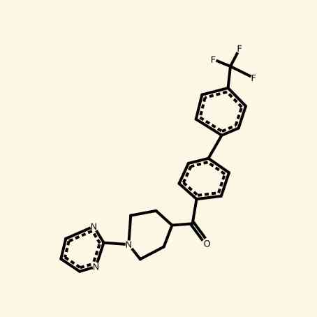 O=C(c1ccc(-c2ccc(C(F)(F)F)cc2)cc1)C1CCN(c2ncccn2)CC1